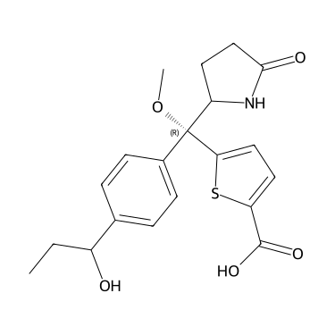 CCC(O)c1ccc([C@](OC)(c2ccc(C(=O)O)s2)C2CCC(=O)N2)cc1